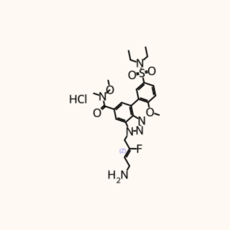 CCN(CC)S(=O)(=O)c1ccc(OC)c(-c2cc(C(=O)N(C)OC)cc3c2nnn3C/C(F)=C/CN)c1.Cl